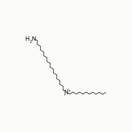 CCCCCCCCCCCC[N+](C)(C)CCCCCCCCCCCCCCCCCCN